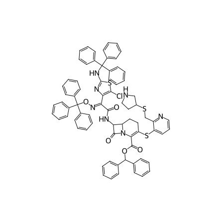 O=C(NC1C(=O)N2C(C(=O)OC(c3ccccc3)c3ccccc3)=C(Sc3cccnc3CSC3CCNC3)CCC12)C(=NOC(c1ccccc1)(c1ccccc1)c1ccccc1)c1nc(NC(c2ccccc2)(c2ccccc2)c2ccccc2)sc1Cl